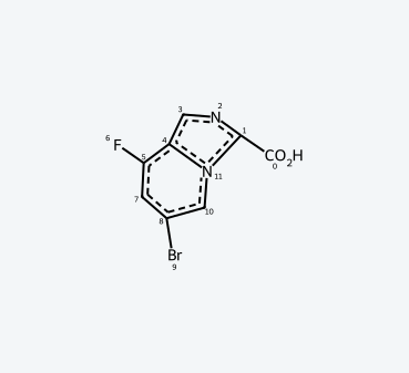 O=C(O)c1ncc2c(F)cc(Br)cn12